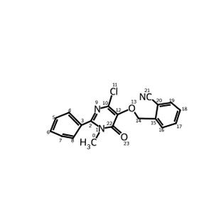 Cn1c(-c2ccccc2)nc(Cl)c(OCc2ccccc2C#N)c1=O